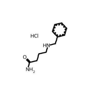 Cl.NC(=O)CCCNCc1ccccc1